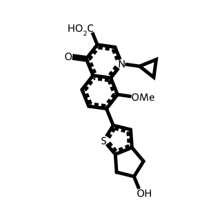 COc1c(-c2cc3c(s2)CC(O)C3)ccc2c(=O)c(C(=O)O)cn(C3CC3)c12